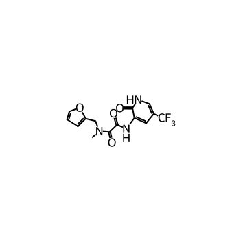 CN(Cc1ccco1)C(=O)C(=O)Nc1cc(C(F)(F)F)c[nH]c1=O